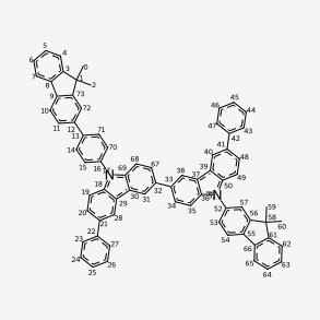 CC1(C)c2ccccc2-c2ccc(-c3ccc(-n4c5ccc(-c6ccccc6)cc5c5cc(-c6ccc7c(c6)c6cc(-c8ccccc8)ccc6n7-c6ccc7c(c6)C(C)(C)c6ccccc6-7)ccc54)cc3)cc21